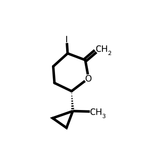 C=C1O[C@H](C2(C)CC2)CCC1I